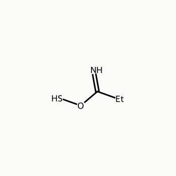 CCC(=N)OS